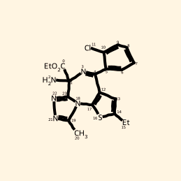 CCOC(=O)C1(N)N=C(c2ccccc2Cl)c2cc(CC)sc2-n2c(C)nnc21